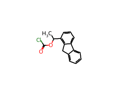 CC(OC(=O)Cl)c1cccc2c1Cc1ccccc1-2